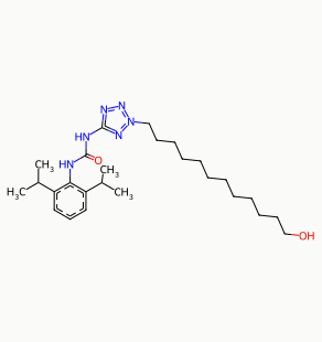 CC(C)c1cccc(C(C)C)c1NC(=O)Nc1nnn(CCCCCCCCCCCCO)n1